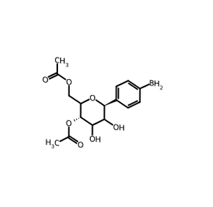 Bc1ccc([C@@H]2OC(COC(C)=O)[C@@H](OC(C)=O)C(O)C2O)cc1